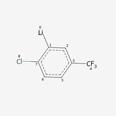 [Li][c]1cc(C(F)(F)F)ccc1Cl